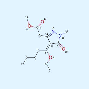 CCCCC(OCC)=C1C(=O)N(C)N=C1CC(=O)OC